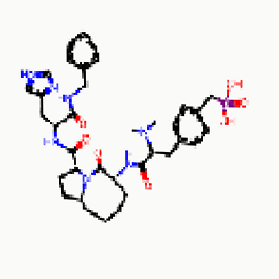 CN(C)[C@@H](Cc1ccc(CP(=O)(O)O)cc1)C(=O)N[C@H]1CCCCC2CC[C@@H](C(=O)N[C@@H](Cc3c[nH]cn3)C(=O)NCc3ccccc3)N2C1=O